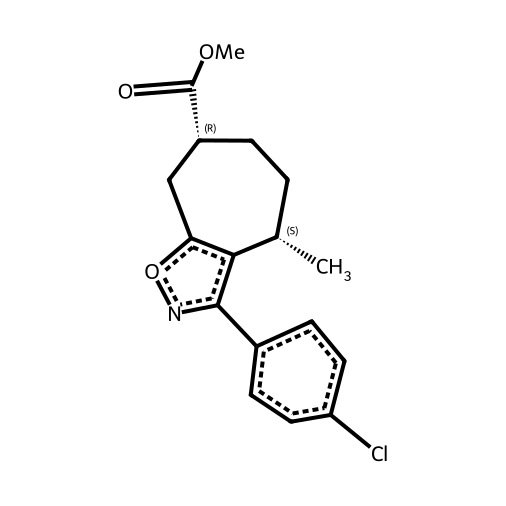 COC(=O)[C@@H]1CC[C@H](C)c2c(-c3ccc(Cl)cc3)noc2C1